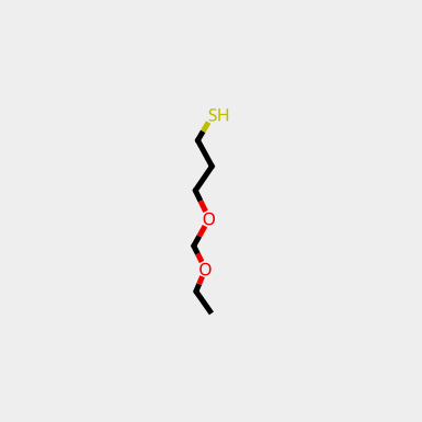 CCOCOCCCS